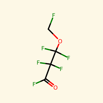 O=C(F)C(F)(F)C(F)(F)OCF